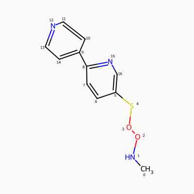 CNOOSc1ccc(-c2ccncc2)nc1